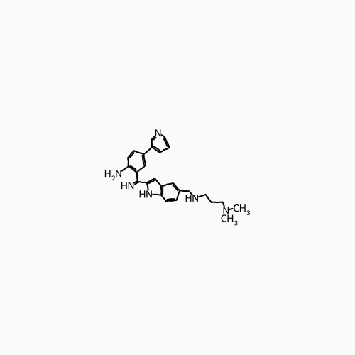 CN(C)CCCNCc1ccc2[nH]c(C(=N)c3cc(-c4cccnc4)ccc3N)cc2c1